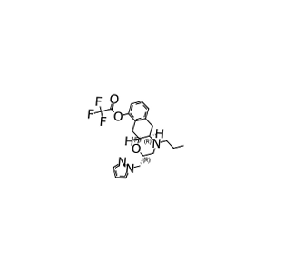 CCCN1C[C@H](Cn2cccn2)O[C@@H]2Cc3c(cccc3OC(=O)C(F)(F)F)C[C@H]21